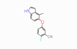 Cc1c(Oc2ccc(F)c(C#N)c2)ccc2[nH]ccc12